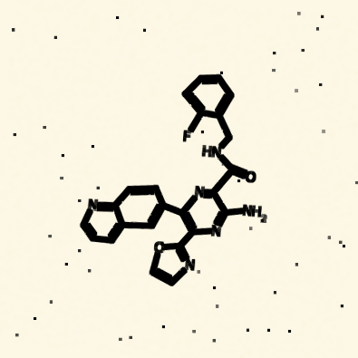 Nc1nc(-c2ncco2)c(-c2ccc3ncccc3c2)nc1C(=O)NCc1ccccc1F